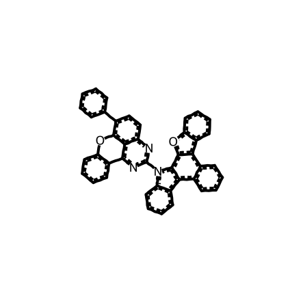 c1ccc(-c2ccc3nc(-n4c5ccccc5c5c6ccccc6c6c7ccccc7oc6c54)nc4c3c2Oc2ccccc2-4)cc1